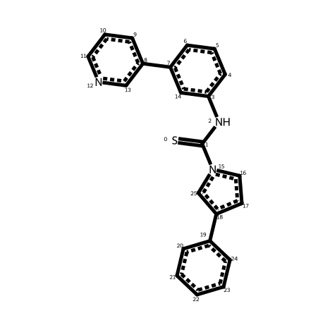 S=C(Nc1cccc(-c2cccnc2)c1)n1ccc(-c2ccccc2)c1